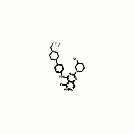 N#CC1CCCN(c2nc(Nc3ccc(N4CCC(CC(=O)O)CC4)cc3)c3c(=O)[nH]ncc3n2)C1